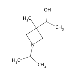 CC(C)N1CC(C)(C(C)O)C1